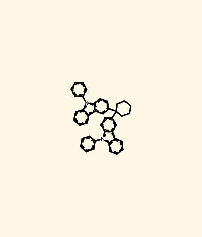 c1ccc(-n2c3ccccc3c3cc(C4(c5ccc6c(c5)c5ccccc5n6-c5ccccc5)CCCCC4)ccc32)cc1